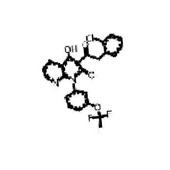 O=C(Cc1ccccc1Cl)c1c(O)c2cccnc2n(-c2cccc(OC(F)(F)F)c2)c1=O